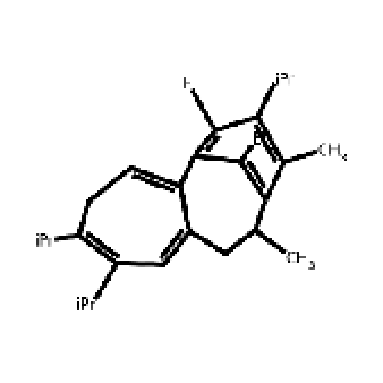 CCc1c2c(F)c(C(C)C)c(C)c1C(C)CC1=CC(C(C)C)=C(C(C)C)CC=C12